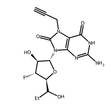 C#CCn1c(=O)n([C@@H]2O[C@@H](C(O)CC)[C@H](F)[C@H]2O)c2nc(N)[nH]c(=O)c21